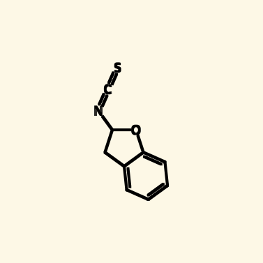 S=C=NC1Cc2ccccc2O1